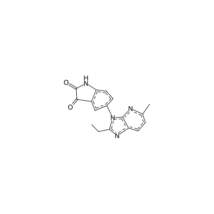 CCc1nc2ccc(C)nc2n1-c1ccc2c(c1)C(=O)C(=O)N2